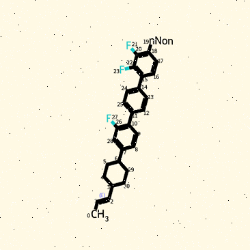 C/C=C/C1CCC(c2ccc(-c3ccc(-c4ccc(CCCCCCCCC)c(F)c4F)cc3)c(F)c2)CC1